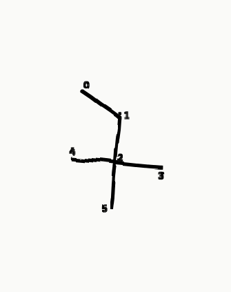 C[CH]C(C)(C)C